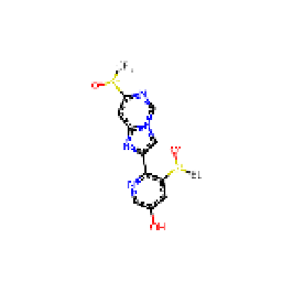 CC[S+]([O-])c1cc(O)cnc1-c1cn2cnc([S+]([O-])C(F)(F)F)cc2n1